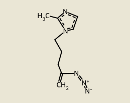 C=C(CCCn1ccnc1C)N=[N+]=[N-]